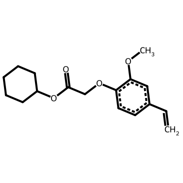 C=Cc1ccc(OCC(=O)OC2CCCCC2)c(OC)c1